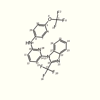 FC(F)(F)Oc1ccc(Nc2cccc(-n3c(C(F)(F)F)nc4ccccc43)n2)cc1